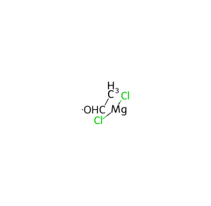 C[C]=O.[Cl][Mg][Cl]